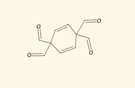 O=CC1(C=O)C=CC(C=O)(C=O)C=C1